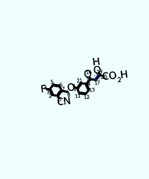 N#Cc1cc(F)ccc1COc1cccc(C(=O)/C=C(\O)C(=O)O)c1